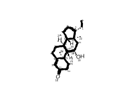 CC[C@H]1CC[C@H]2[C@@H]3CCC4=CC(=O)CC[C@]4(C)[C@H]3[C@@H](O)C[C@]12C